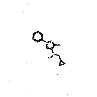 [CH2]C(=O)N(CC1CC1)c1cn(-c2cccnc2)nc1Cl